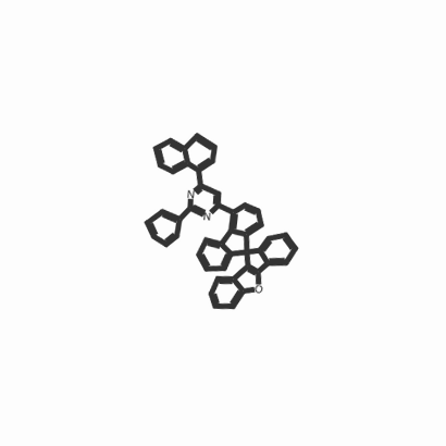 c1ccc(-c2nc(-c3cccc4c3-c3ccccc3C43c4ccccc4-c4oc5ccccc5c43)cc(-c3cccc4ccccc34)n2)cc1